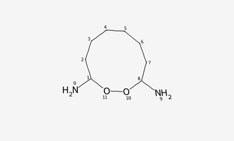 NC1CCCCCCC(N)OO1